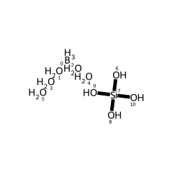 B.O.O.O.O.O.O[Si](O)(O)O